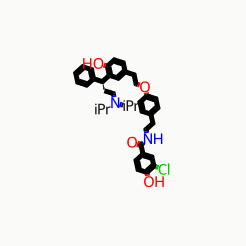 CC(C)N(CC[C@H](c1ccccc1)c1cc(CCOc2ccc(CCNC(=O)c3ccc(O)c(Cl)c3)cc2)ccc1O)C(C)C